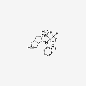 C[C@@](C(N)=O)(N(c1ccccc1)C1CCC2CNCC21)C(F)(F)F